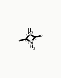 CC1[SiH2]C(C)[SiH2]1